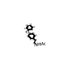 CC(=O)NC[CH]c1ccc(Oc2ccccc2)cc1